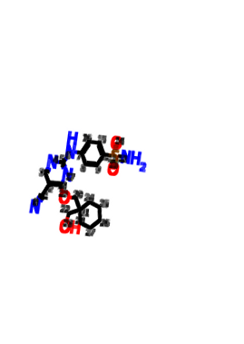 N#Cc1cnc(Nc2ccc(S(N)(=O)=O)cc2)nc1OCC1(CO)CCCCC1